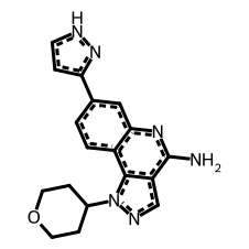 Nc1nc2cc(-c3cc[nH]n3)ccc2c2c1cnn2C1CCOCC1